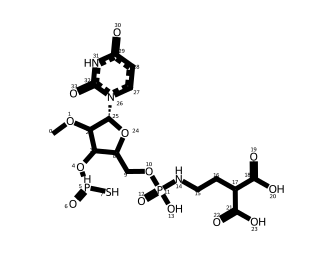 COC1C(O[PH](=O)S)C(COP(=O)(O)NCCC(C(=O)O)C(=O)O)O[C@H]1n1ccc(=O)[nH]c1=O